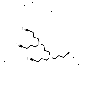 N#CCCCP(CCCC#N)CCCP(CCCC#N)CCCC#N